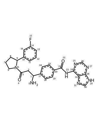 NC(CC(=O)N1CCCC1c1cccc(F)c1)c1ccc(C(=O)Nc2ncnc3[nH]cnc23)cc1